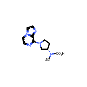 CC(C)(C)N(C(=O)O)[C@H]1CCN(c2nccn3ccnc23)C1